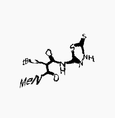 CNC(=O)C(C(=O)Nc1n[nH]c(=S)s1)C(C)(C)C